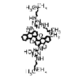 CN(C)CCCNc1nc(O)nc(Nc2ccc(-c3ccc(Nc4nc(NCCCN(C)C)nc(NCCCN(C)C)n4)c4c3C(=O)c3ccccc3C4=O)c3c2C(=O)c2ccccc2C3=O)n1